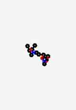 c1ccc(-c2ccc(-c3ccccc3N(c3cccc(-c4ccccc4)c3)c3ccc4cc(-c5ccc6c(c5)C5(c7ccccc7-6)c6ccccc6-n6c7ccccc7c7cccc5c76)ccc4c3)cc2)cc1